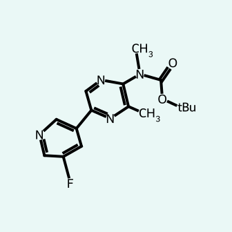 Cc1nc(-c2cncc(F)c2)cnc1N(C)C(=O)OC(C)(C)C